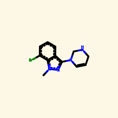 Cn1nc(N2C=CCNC2)c2cccc(Br)c21